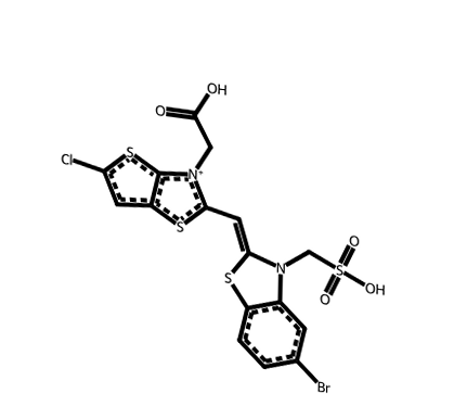 O=C(O)C[n+]1c(/C=C2\Sc3ccc(Br)cc3N2CS(=O)(=O)O)sc2cc(Cl)sc21